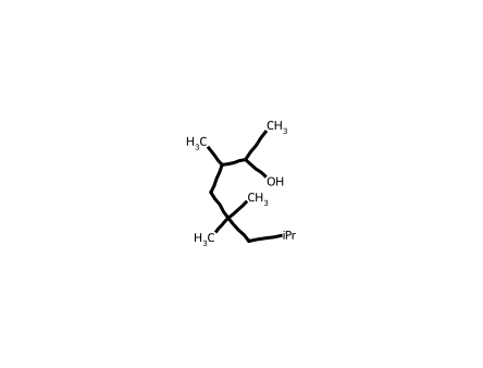 CC(C)CC(C)(C)CC(C)C(C)O